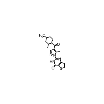 Cc1c(C(=O)N2CCC(C(F)(F)F)CC2C)cnn1-c1nc2ccsc2c(=O)[nH]1